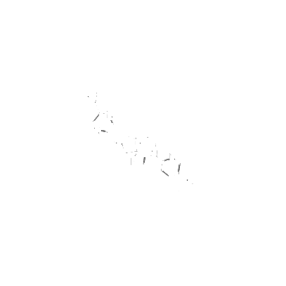 O=C1[C@@H]2C[C@@H](Oc3cnc(C4CC4)cn3)CN2CCN1c1ccc(C(F)(F)F)cn1